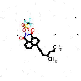 CCCC(C)CC#Cc1ccc2c3c(cccc13)C(=O)N(OS(=O)(=O)C(F)(F)F)C2=O